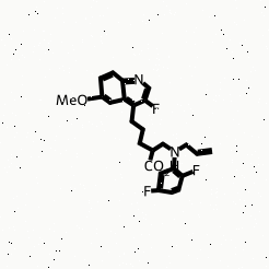 C=CCN(CC(CCCc1c(F)cnc2ccc(OC)cc12)C(=O)O)c1cc(F)ccc1F